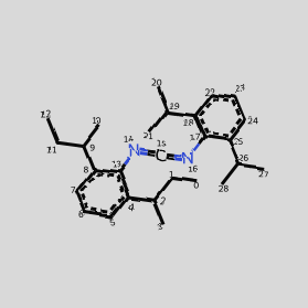 CCC(C)c1cccc(C(C)CC)c1N=C=Nc1c(C(C)C)cccc1C(C)C